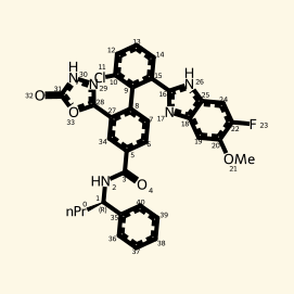 CCC[C@@H](NC(=O)c1ccc(-c2c(Cl)cccc2-c2nc3cc(OC)c(F)cc3[nH]2)c(-c2n[nH]c(=O)o2)c1)c1ccccc1